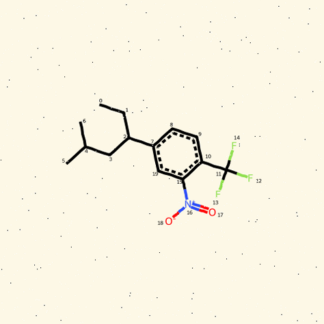 CCC(CC(C)C)c1ccc(C(F)(F)F)c([N+](=O)[O-])c1